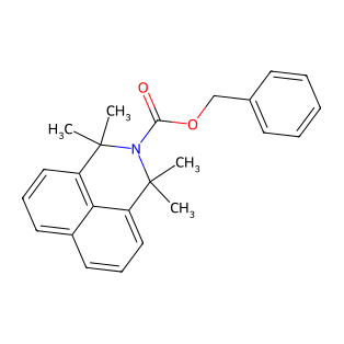 CC1(C)c2cccc3cccc(c23)C(C)(C)N1C(=O)OCc1ccccc1